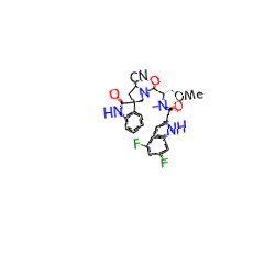 COC[C@@H](C(=O)N1C[C@]2(C[C@H]1C#N)C(=O)Nc1ccccc12)N(C)C(=O)c1cc2c(F)cc(F)cc2[nH]1